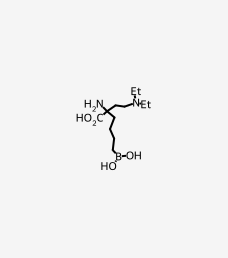 CCN(CC)CCC(N)(CCCCB(O)O)C(=O)O